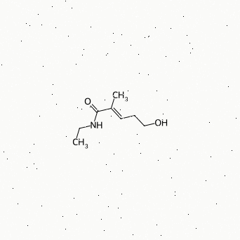 CCNC(=O)C(C)=CCCO